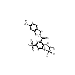 COc1ccc2c(c1)CN(C(=O)c1cc(S(C)(=O)=O)ccc1OC(C)C(F)(F)F)C2